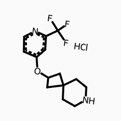 Cl.FC(F)(F)c1cc(OC2CC3(CCNCC3)C2)ccn1